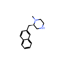 CN1CCNC[C@H]1Cc1ccc2ccccc2c1